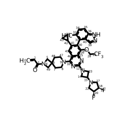 C=CC(=O)N1CC2(CCN(c3nc(N4CC(N5C[C@@H](F)[C@@H](F)C5)C4)nc4c(OCC(F)(F)F)c(-c5c(C)ccc6[nH]ncc56)c(C5CC5)cc34)CC2)C1